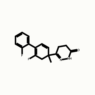 CC1(C2=NNC(=O)CC2)C=CC(c2ccccc2F)=C(F)C1